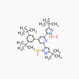 CC(C)(C)c1cc(-c2cc(-c3cc(C(C)(C)C)nn3PI)nc(-c3cc(C(C)(C)C)nn3PI)c2)cc(C(C)(C)C)c1